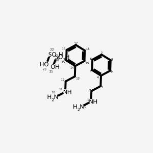 NNCCc1ccccc1.NNCCc1ccccc1.O=S(=O)(O)O.O=S(=O)(O)O